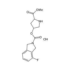 COC(=O)C1CC(OC(=O)N2Cc3cccc(F)c3C2)CN1.Cl